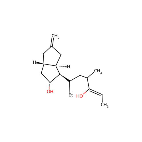 C=C1C[C@H]2C[C@@H](O)[C@H](C(CC)CC(C)/C(O)=C/C)[C@@H]2C1